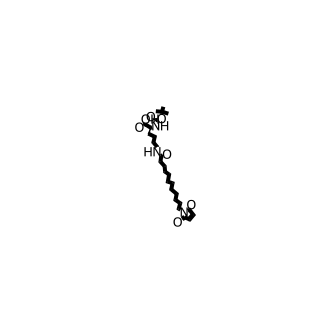 CC(C)(C)OC(=O)N[C@@H](CCCCNC(=O)CCCCCCCCCCCN1C(=O)C=CC1=O)C(=O)O